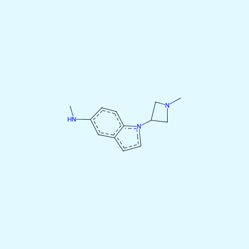 CNc1ccc2c(ccn2C2CN(C)C2)c1